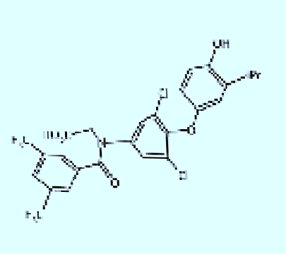 CC(C)c1cc(Oc2c(Cl)cc(N(CC(=O)O)C(=O)c3cc(C(F)(F)F)cc(C(F)(F)F)c3)cc2Cl)ccc1O